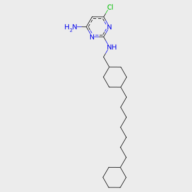 Nc1cc(Cl)nc(NCC2CCC(CCCCCCCC3CCCCC3)CC2)n1